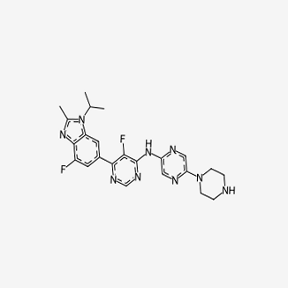 Cc1nc2c(F)cc(-c3ncnc(Nc4cnc(N5CCNCC5)cn4)c3F)cc2n1C(C)C